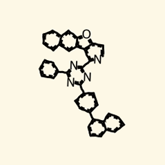 c1ccc(-c2nc(-c3ccc(-c4cccc5ccccc45)cc3)nc(-c3nccc4oc5cc6ccccc6cc5c34)n2)cc1